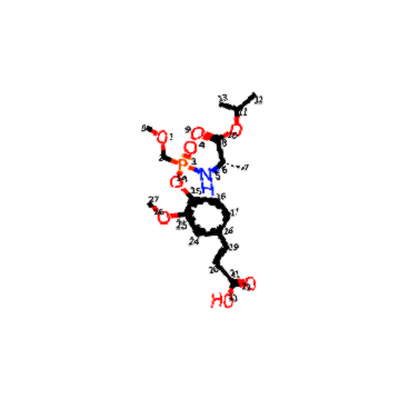 COCP(=O)(N[C@@H](C)C(=O)OC(C)C)Oc1ccc(/C=C/C(=O)O)cc1OC